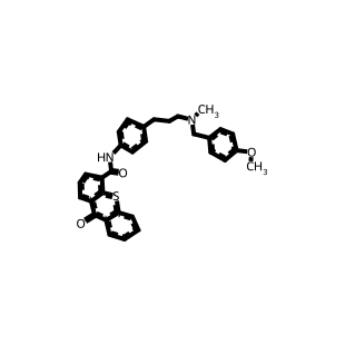 COc1ccc(CN(C)CCCc2ccc(NC(=O)c3cccc4c(=O)c5ccccc5sc34)cc2)cc1